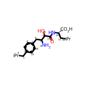 CC(C)Cc1ccc(CC(N)C(O)C(=O)N[C@@H](CC(C)C)C(=O)O)cc1